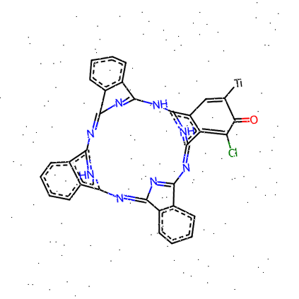 O=C1[C]([Ti])=Cc2c3[nH]c(c2=C1Cl)=NC1=NC(=Nc2[nH]c(c4ccccc24)N=C2N=C(N3)c3ccccc32)c2ccccc21